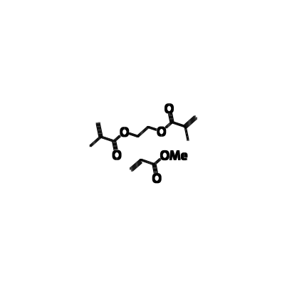 C=C(C)C(=O)OCCOC(=O)C(=C)C.C=CC(=O)OC